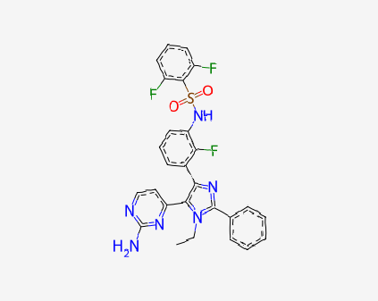 CCn1c(-c2ccccc2)nc(-c2cccc(NS(=O)(=O)c3c(F)cccc3F)c2F)c1-c1ccnc(N)n1